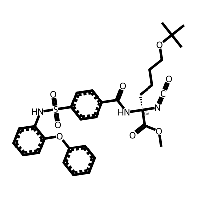 COC(=O)[C@](CCCCOC(C)(C)C)(N=C=O)NC(=O)c1ccc(S(=O)(=O)Nc2ccccc2Oc2ccccc2)cc1